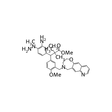 COC(=O)C(C)(C)C(c1ccc(OC)c(CN2CCOc3cc4cccnc4cc3C2)c1)c1ccc(N(C)N)c(N)c1C